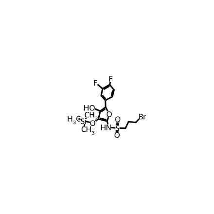 C[Si](C)(C)Oc1c(NS(=O)(=O)CCCBr)oc(-c2ccc(F)c(F)c2)c1O